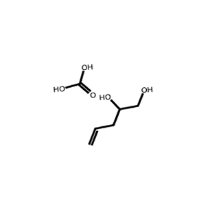 C=CCC(O)CO.O=C(O)O